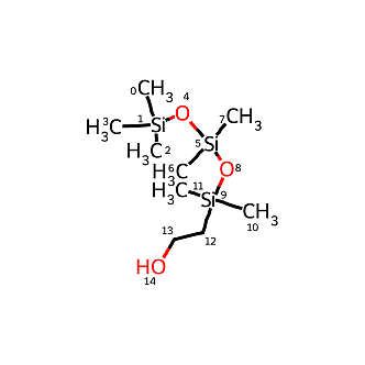 C[Si](C)(C)O[Si](C)(C)O[Si](C)(C)CCO